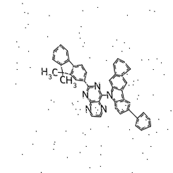 CC1(C)c2ccccc2-c2ccc(-c3nc(-n4c5ccc(-c6ccccc6)cc5c5cc6ccccc6cc54)c4nccnc4n3)cc21